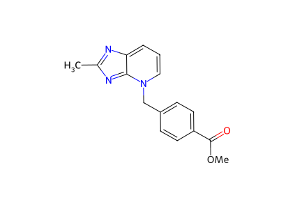 COC(=O)c1ccc(Cn2cccc3nc(C)nc2-3)cc1